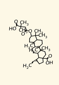 C=C[C@@H]1CCC2(C(=O)O)CC[C@]3(C)C(CCC4[C@@]5(C)CCC(OC(=O)CC(C)(C)C(=O)O)C(C)(C)C5CC[C@]43C)C12